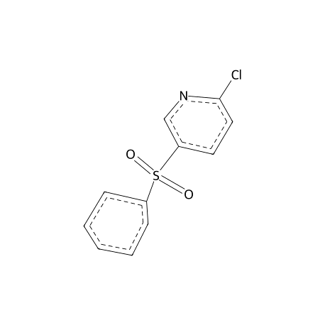 O=S(=O)(c1ccccc1)c1ccc(Cl)nc1